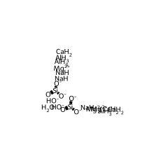 O.O=[Si]([O-])[O-].O=[Si]([O-])[O-].[AlH3].[AlH3].[AlH3].[CaH2].[CaH2].[CaH2].[Mg+2].[Mg+2].[Mg+2].[NaH].[NaH].[NaH].[OH-].[OH-]